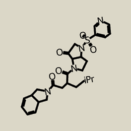 CC(C)CC(CC(=O)N1CC2C=CC=CC2C1)C(=O)N1CCC2C1C(=O)CN2S(=O)(=O)c1cccnc1